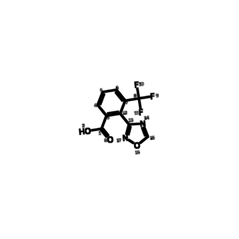 O=C(O)c1cccc(C(F)(F)F)c1-c1ncon1